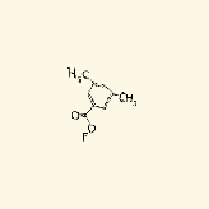 Cc1cc(C)cc(C(=O)OF)c1